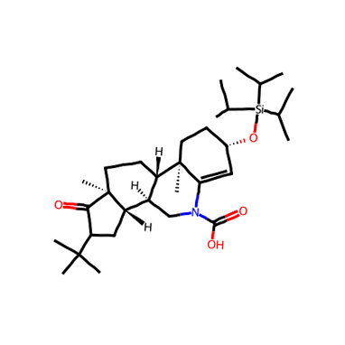 CC(C)[Si](O[C@@H]1C=C2N(C(=O)O)C[C@@H]3[C@H](CC[C@]4(C)C(=O)C(C(C)(C)C)C[C@@H]34)[C@@]2(C)CC1)(C(C)C)C(C)C